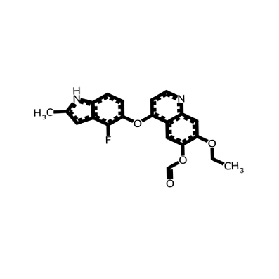 CCOc1cc2nccc(Oc3ccc4[nH]c(C)cc4c3F)c2cc1OC=O